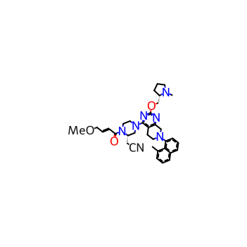 COC/C=C/C(=O)N1CCN(c2nc(OC[C@@H]3CCCN3C)nc3c2CCN(c2cccc4cccc(C)c24)C3)C[C@@H]1CC#N